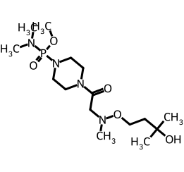 COP(=O)(N(C)C)N1CCN(C(=O)CN(C)OCCC(C)(C)O)CC1